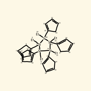 CC[Si]1(C2=CC=CC2)[Si](CC)(C2=CC=CC2)[Si](CC)(C2=CC=CC2)[Si](CC)(C2=CC=CC2)[Si]1(CC)C1=CC=CC1